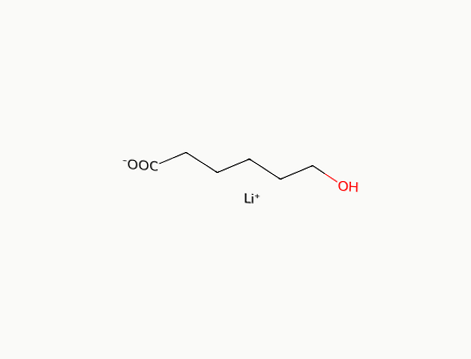 O=C([O-])CCCCCO.[Li+]